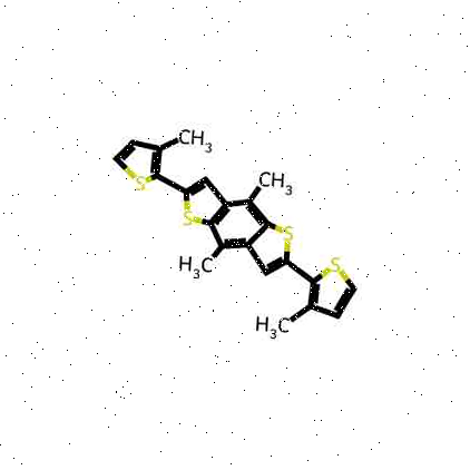 Cc1ccsc1-c1cc2c(C)c3sc(-c4sccc4C)cc3c(C)c2s1